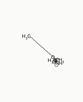 CCCCCCCCCCCCCCCCCCCCCCCCCCCCCCOCCC[N+](C)(C)CC(=O)C1CCCCCCCN1